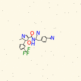 CC1=NC=C(C(=O)NC(C#N)Cc2ccc(C#N)cc2)C(=O)C1c1cccc(C(F)(F)F)c1